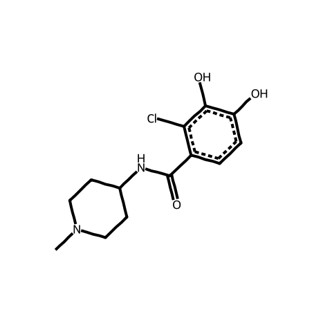 CN1CCC(NC(=O)c2ccc(O)c(O)c2Cl)CC1